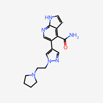 NC(=O)c1c(-c2cnn(CCN3CCCC3)c2)cnc2[nH]c[c]c12